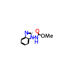 COC(=O)Nn1[c]nc2ccccc21